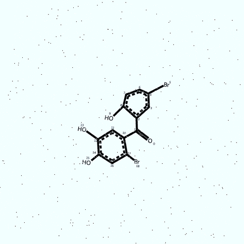 O=C(c1cc(Br)ccc1O)c1cc(O)c(O)cc1Br